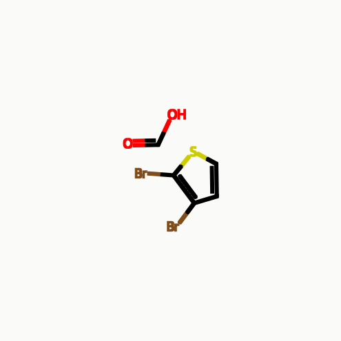 Brc1ccsc1Br.O=CO